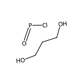 O=PCl.OCCCO